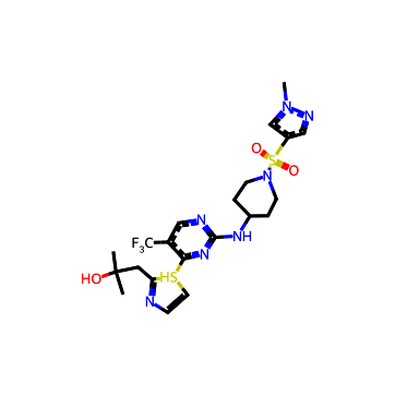 Cn1cc(S(=O)(=O)N2CCC(Nc3ncc(C(F)(F)F)c([SH]4C=CN=C4CC(C)(C)O)n3)CC2)cn1